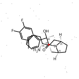 C[C@](O)(C(=O)N1[C@@H]2CC[C@H]1C[C@H]([C@H](N)Cc1cc(F)c(F)cc1F)C2)c1ccccc1